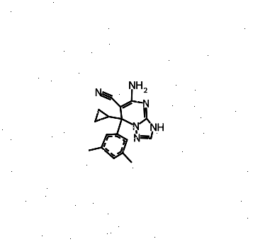 Cc1cc(C)cc(C2(C3CC3)C(C#N)=C(N)N=C3NC=NN32)c1